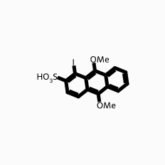 COc1c2ccccc2c(OC)c2c(I)c(S(=O)(=O)O)ccc12